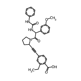 CCc1cc(C#CC2CCCN2C(=O)C(NC(=O)Nc2ccccc2)c2cccc(OC)c2)ccc1C(=O)O